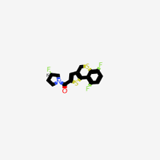 O=C(c1cc2c(s1)-c1c(F)ccc(F)c1SC2)N1CC[C@H](F)C1